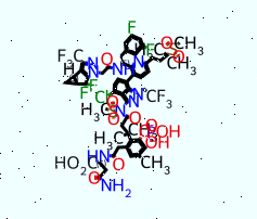 Cc1cc(CC(=O)N[C@@H](CC(N)=O)C(=O)O)c(C(C)(C)CC(=O)N(c2nn(CC(F)(F)F)c3c(-c4ccc(CCC(C)(C)S(C)(=O)=O)nc4[C@H](Cc4cc(F)cc(F)c4)NC(=O)Cn4nc(C(F)(F)F)c5c4C(F)(F)C4C[C@H]54)ccc(Cl)c23)S(C)(=O)=O)c(OP(=O)(O)O)c1